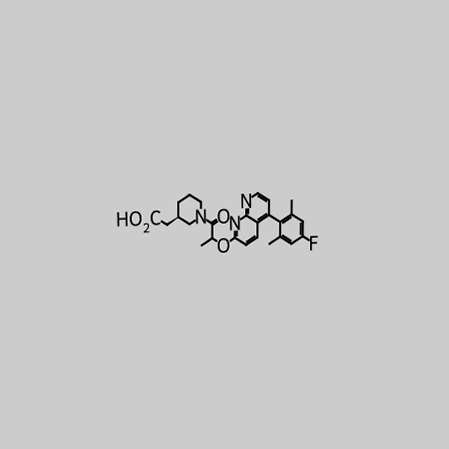 Cc1cc(F)cc(C)c1-c1ccnc2nc(OC(C)C(=O)N3CCC[C@H](CC(=O)O)C3)ccc12